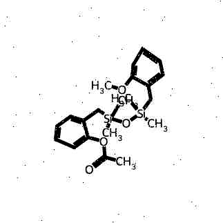 COc1ccccc1C[Si](C)(C)O[Si](C)(C)Cc1ccccc1OC(C)=O